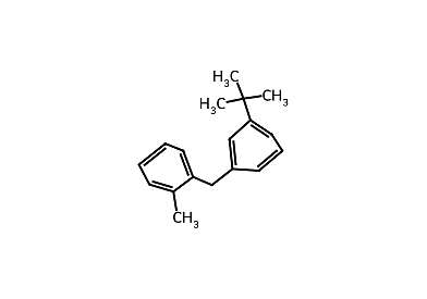 Cc1ccccc1Cc1cccc(C(C)(C)C)c1